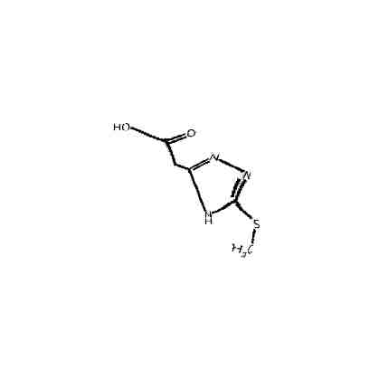 CSc1nnc(CC(=O)O)[nH]1